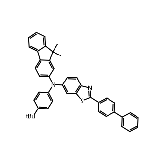 CC(C)(C)c1ccc(N(c2ccc3c(c2)C(C)(C)c2ccccc2-3)c2ccc3nc(-c4ccc(-c5ccccc5)cc4)sc3c2)cc1